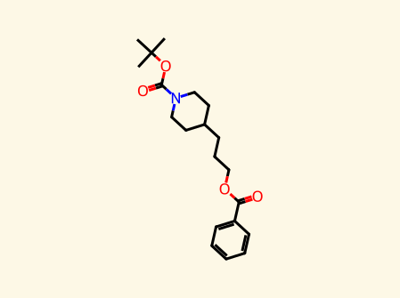 CC(C)(C)OC(=O)N1CCC(CCCOC(=O)c2ccccc2)CC1